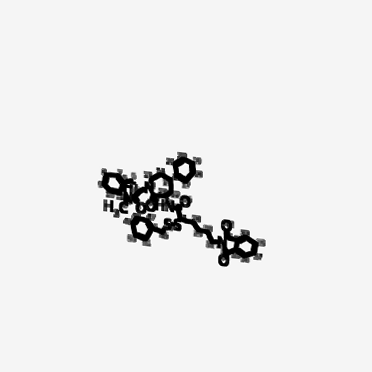 CNC(=O)[C@H](Cc1ccccc1)N1CC[C@H](c2ccccc2)C[C@H](NC(=O)C(CCCCN2C(=O)c3ccccc3C2=O)SSCc2ccccc2)C1=O